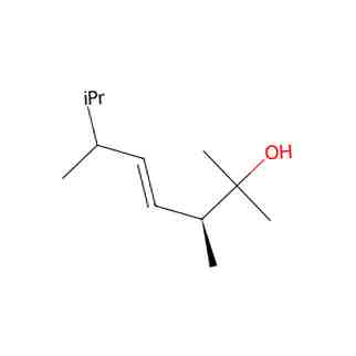 CC(C)C(C)/C=C/[C@H](C)C(C)(C)O